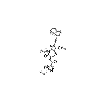 Cc1nnc(C(=O)/N=C2\CSc3c(sc(C#Cc4cnc5cccnn45)c3C)N(C)C2=O)[nH]1